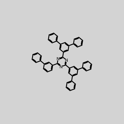 c1ccc(-c2cccc(-c3nc(-c4cc(-c5ccccc5)cc(-c5ccccc5)c4)nc(-c4cc(-c5ccccc5)cc(-c5ccccc5)c4)n3)c2)cc1